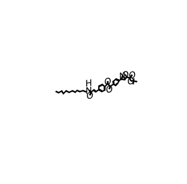 CCCCCCCCCCCCNC(=O)C=Cc1ccc(C(=O)C(=O)c2ccc(C3=NOC(C(=O)OC(C)(C)C)C3)cc2)cc1